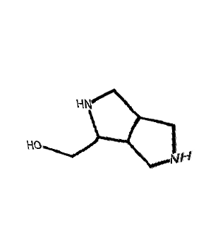 OCC1NCC2CNCC21